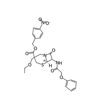 CCOCC1(C(=O)OCc2ccc([N+](=O)[O-])cc2)CS[C@@H]2C(NC(=O)COc3ccccc3)C(=O)N2C1